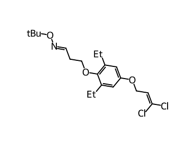 CCc1cc(OCC=C(Cl)Cl)cc(CC)c1OCC/C=N/OC(C)(C)C